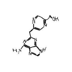 Nc1nc(Cc2cnc(CO)cn2)nc2[nH]cnc12